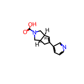 O=C(O)N1C[C@H]2CC(c3cccnc3)=C[C@H]2C1